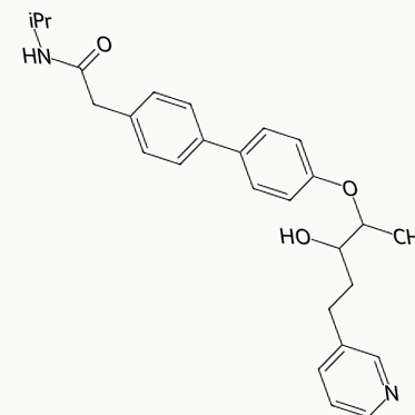 CC(C)NC(=O)Cc1ccc(-c2ccc(OC(C)C(O)CCc3cccnc3)cc2)cc1